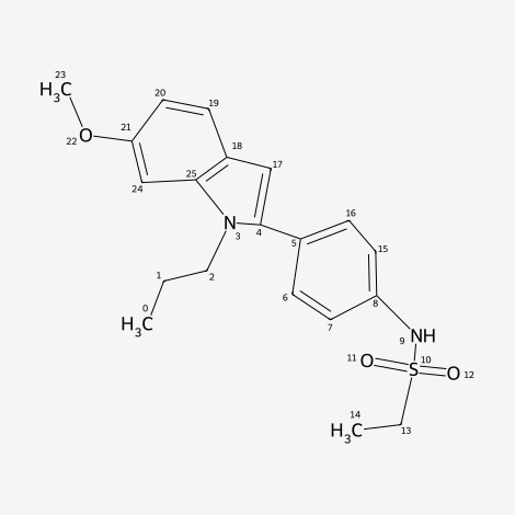 CCCn1c(-c2ccc(NS(=O)(=O)CC)cc2)cc2ccc(OC)cc21